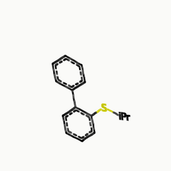 CC(C)Sc1ccccc1-c1ccccc1